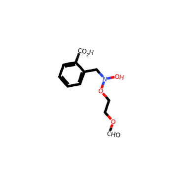 O=COCCON(O)Cc1ccccc1C(=O)O